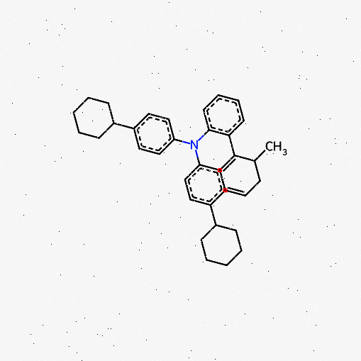 CC1CC=CC=C1c1ccccc1N(c1ccc(C2CCCCC2)cc1)c1ccc(C2CCCCC2)cc1